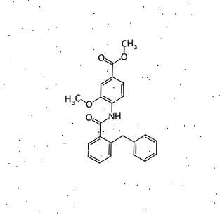 COC(=O)c1ccc(NC(=O)c2ccccc2Cc2ccccc2)c(OC)c1